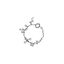 CCON=C1CC(=O)/N=C(\N)NCc2cc(Cl)c(c(Cl)c2)NC(=O)CNCCCCCCCOc2ccc1cc2